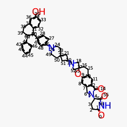 O=C1CCC(N2Cc3cc4c(cc3C2=O)CCC2(CN(C3CC5(CCN(c6ccc([C@@H]7c8ccc(O)cc8CC[C@@H]7c7ccccc7)cc6)CC5)C3)C2)O4)C(=O)N1